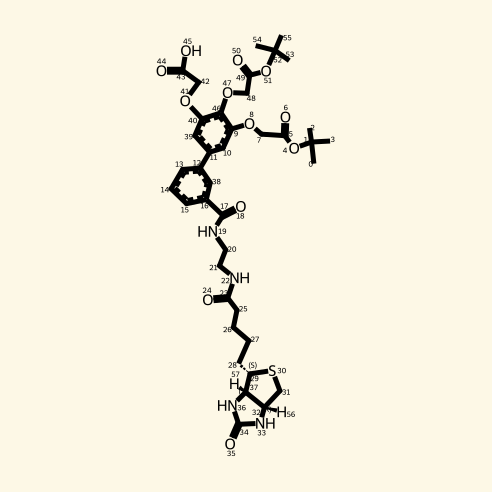 CC(C)(C)OC(=O)COc1cc(-c2cccc(C(=O)NCCNC(=O)CCCC[C@@H]3SC[C@@H]4NC(=O)N[C@@H]43)c2)cc(OCC(=O)O)c1OCC(=O)OC(C)(C)C